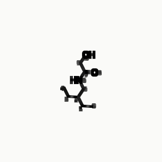 CCC(CC)CNC(=O)CO